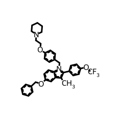 Cc1c(-c2ccc(OC(F)(F)F)cc2)n(Cc2ccc(OCCN3CCCCC3)cc2)c2ccc(OCc3ccccc3)cc12